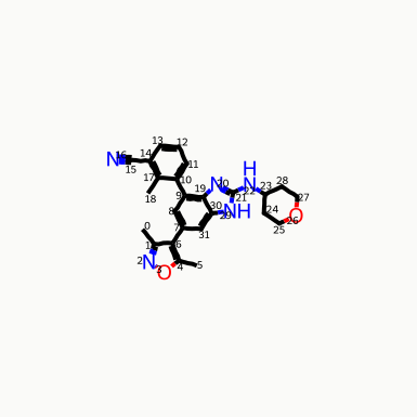 Cc1noc(C)c1-c1cc(-c2cccc(C#N)c2C)c2nc(NC3CCOCC3)[nH]c2c1